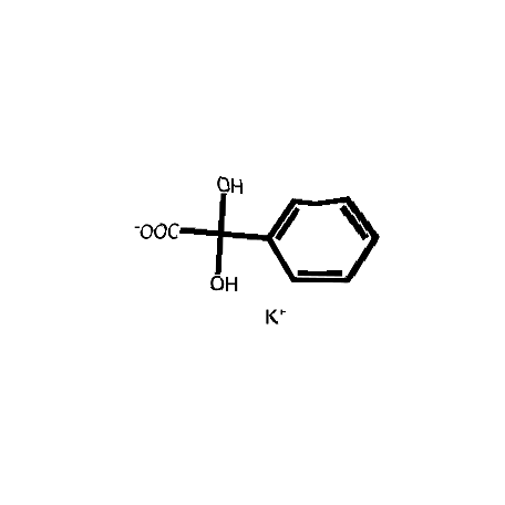 O=C([O-])C(O)(O)c1ccccc1.[K+]